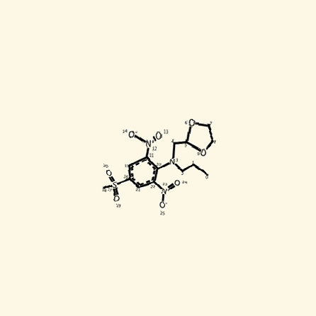 CCCN(CC1OCCO1)c1c([N+](=O)[O-])cc(S(C)(=O)=O)cc1[N+](=O)[O-]